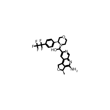 C[C@H]1OCc2c1c(N)nc1cnc(C(O)N3CCOC[C@@H]3c3ccc(C(F)(F)C(F)(F)F)cc3)cc21